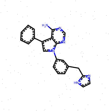 Nc1ncnc2c1c(-c1ccccc1)cn2-c1cccc(Cc2ncc[nH]2)c1